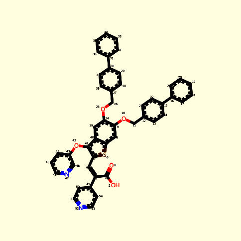 O=C(O)C(=Cc1sc2cc(OCc3ccc(-c4ccccc4)cc3)c(OCc3ccc(-c4ccccc4)cc3)cc2c1Oc1cccnc1)c1ccncc1